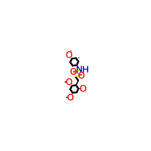 COc1[c]cc(NS(=O)(=O)/C=C/c2c(OC)cc(OC)cc2OC)cc1